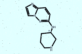 c1cn2nc(N[C@@H]3CCCNC3)ccc2n1